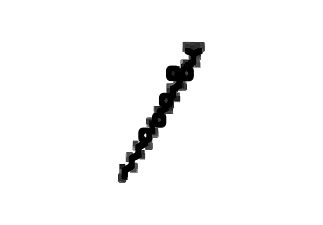 CCCCCCCOCCOCCOCCCC(=O)OCCC(C)C